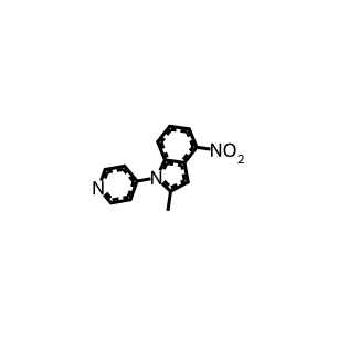 Cc1cc2c([N+](=O)[O-])cccc2n1-c1ccncc1